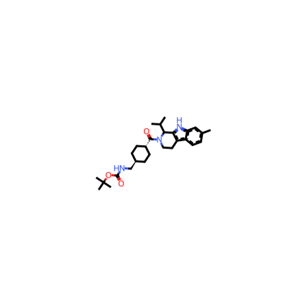 Cc1ccc2c3c([nH]c2c1)C(C(C)C)N(C(=O)[C@H]1CC[C@H](CNC(=O)OC(C)(C)C)CC1)CC3